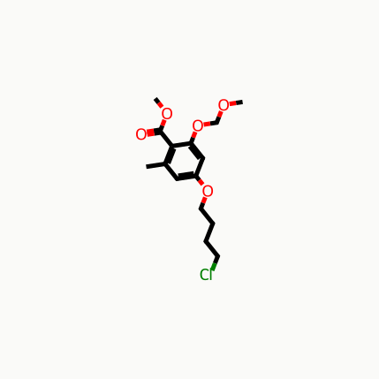 COCOc1cc(OCCCCCl)cc(C)c1C(=O)OC